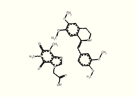 COc1ccc(C=C2NCCc3cc(OC)c(OC)cc32)cc1OC.Cn1c(=O)c2c(ncn2CC(=O)O)n(C)c1=O